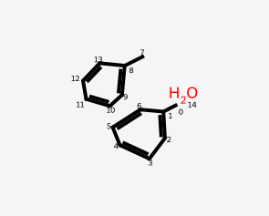 Cc1ccccc1.Cc1ccccc1.O